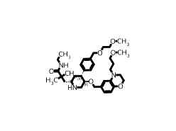 CCNC(=O)C(C)(C)C[C@@H]1C[C@H](c2ccc(COCCOC)cc2)[C@@H](OCc2ccc3c(c2)N(CCCOC)CCO3)CN1